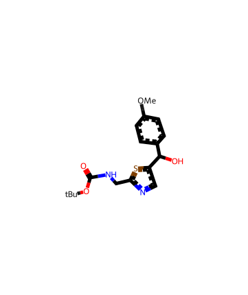 COc1ccc(C(O)c2cnc(CNC(=O)OC(C)(C)C)s2)cc1